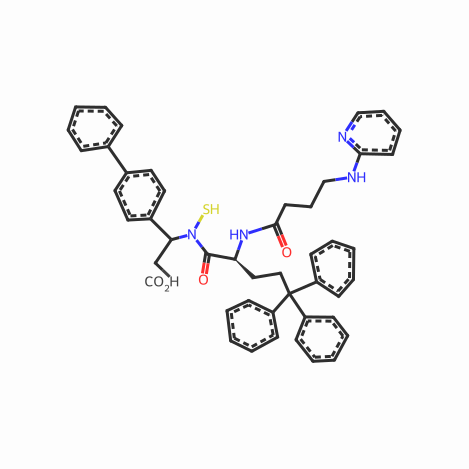 O=C(O)CC(c1ccc(-c2ccccc2)cc1)N(S)C(=O)[C@H](CCC(c1ccccc1)(c1ccccc1)c1ccccc1)NC(=O)CCCNc1ccccn1